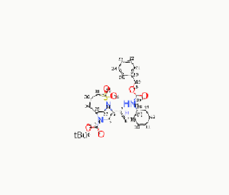 CC(C)(C)OC(=O)N1CC(/C=C/[C@H]2CCCC[C@@H]2NC(=O)OCc2ccccc2)N2CC1CCCS2(=O)=O